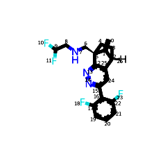 C=C1[C@@H]2CC[C@@]1(CNCC(F)F)c1nnc(-c3c(F)cccc3F)cc12